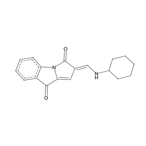 O=C1C2=CC(=CNC3CCCCC3)C(=O)N2c2ccccc21